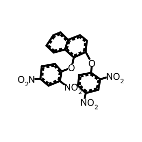 O=[N+]([O-])c1ccc(Oc2ccc3ccccc3c2Oc2ccc([N+](=O)[O-])cc2[N+](=O)[O-])c([N+](=O)[O-])c1